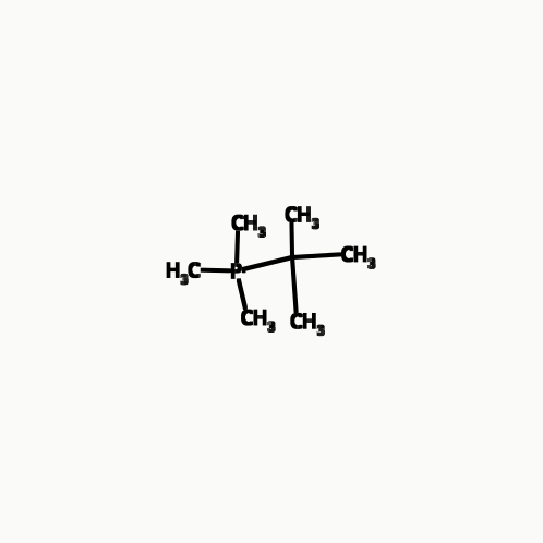 CC(C)(C)[P](C)(C)C